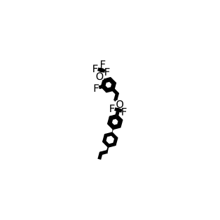 CCC[C@H]1CC[C@H](c2ccc(C(F)(F)OCCc3ccc(OC(F)(F)F)c(F)c3)cc2)CC1